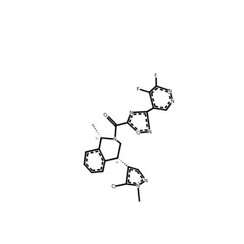 C[C@H]1c2ccccc2[C@@H](c2cnn(C)c2Cl)CN1C(=O)c1nc(-c2cnnc(F)c2F)no1